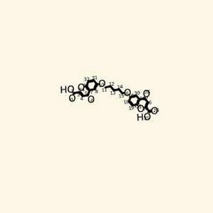 O=C(O)c1cc(=O)c2cc(OCCCCCOc3ccc4oc(C(=O)O)cc(=O)c4c3)ccc2o1